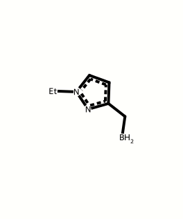 BCc1ccn(CC)n1